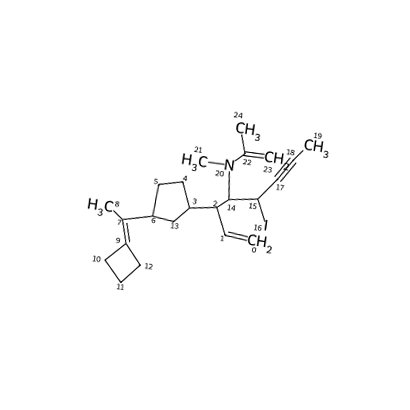 C=CC(C1CCC(C(C)=C2CCC2)C1)C(C(I)C#CC)N(C)C(=C)C